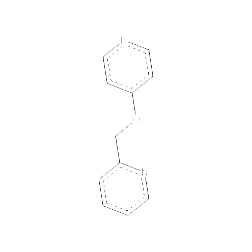 c1ccc(COc2ccncc2)nc1